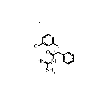 N=C(N)NC(=O)[C@H](Cc1cccc(Cl)c1)c1ccccc1